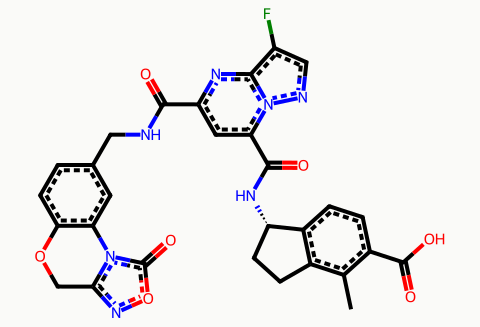 Cc1c(C(=O)O)ccc2c1CC[C@@H]2NC(=O)c1cc(C(=O)NCc2ccc3c(c2)-n2c(noc2=O)CO3)nc2c(F)cnn12